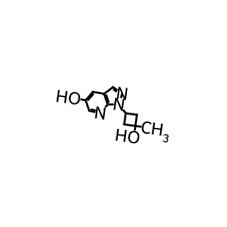 CC1(O)CC(n2ncc3cc(O)cnc32)C1